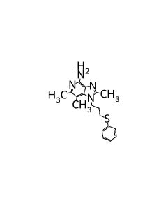 Cc1nc(N)c2nc(C)n(CCCSc3ccccc3)c2c1C